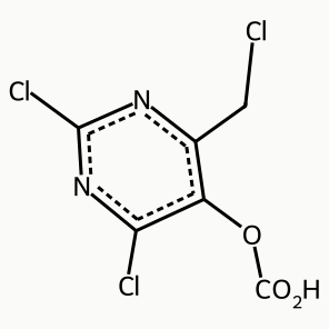 O=C(O)Oc1c(Cl)nc(Cl)nc1CCl